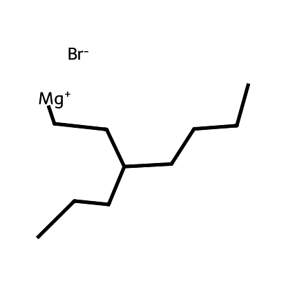 CCCCC(CCC)C[CH2][Mg+].[Br-]